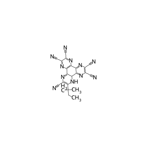 CCC(C)(C)C1=C(C#N)N=C2c3nc(C#N)c(C#N)nc3-c3nc(C#N)c(C#N)nc3C2N1